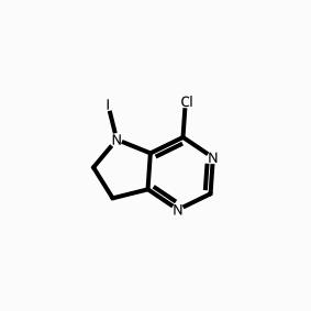 Clc1ncnc2c1N(I)CC2